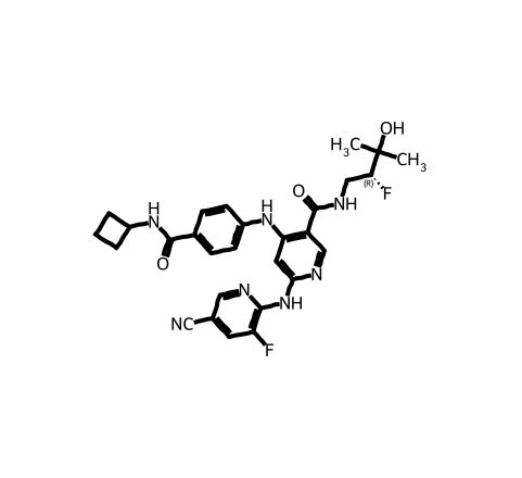 CC(C)(O)[C@H](F)CNC(=O)c1cnc(Nc2ncc(C#N)cc2F)cc1Nc1ccc(C(=O)NC2CCC2)cc1